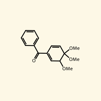 COC1C=C(C(=O)c2ccccc2)C=CC1(OC)OC